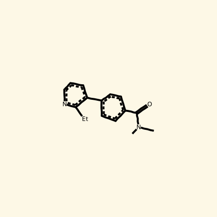 CCc1ncccc1-c1ccc(C(=O)N(C)C)cc1